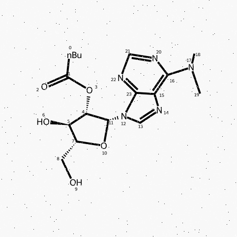 CCCCC(=O)O[C@H]1[C@H](O)[C@@H](CO)O[C@H]1n1cnc2c(N(C)C)ncnc21